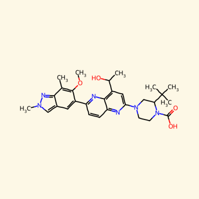 COc1c(-c2ccc3nc(N4CCN(C(=O)O)C(C(C)(C)C)C4)cc(C(C)O)c3n2)cc2cn(C)nc2c1C